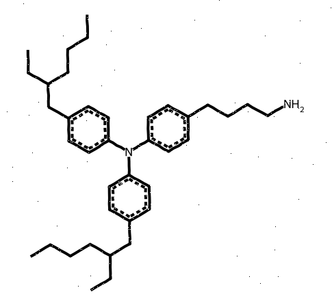 CCCCC(CC)Cc1ccc(N(c2ccc(CCCCN)cc2)c2ccc(CC(CC)CCCC)cc2)cc1